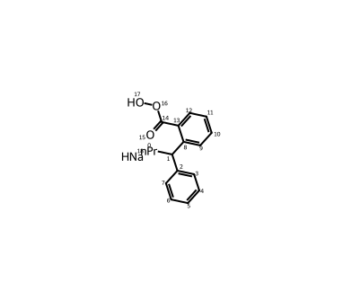 CCCC(c1ccccc1)c1ccccc1C(=O)OO.[NaH]